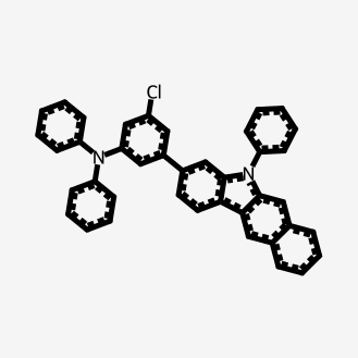 Clc1cc(-c2ccc3c4cc5ccccc5cc4n(-c4ccccc4)c3c2)cc(N(c2ccccc2)c2ccccc2)c1